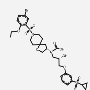 CCOc1ccc(Br)cc1S(=O)(=O)N1CCC2(CC1)C[C@H](N(C[C@H](O)COc1cccc(S(=O)(=O)C3CC3)c1)C(=O)O)CO2